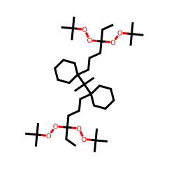 CCC(CCCC1(C(C)(C)C2(CCCC(CC)(OOC(C)(C)C)OOC(C)(C)C)CCCCC2)CCCCC1)(OOC(C)(C)C)OOC(C)(C)C